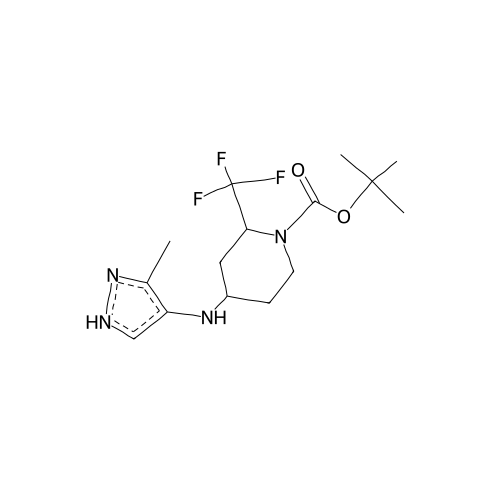 Cc1n[nH]cc1NC1CCN(C(=O)OC(C)(C)C)C(C(F)(F)F)C1